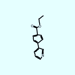 CCOC(=O)c1ccc(-c2cccnc2)cc1